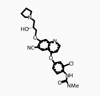 CNC(=O)Nc1ccc(Oc2ccnc3cc(OC[C@H](O)CN4CCCC4)c(C#N)cc23)cc1Cl